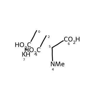 CC(=O)O.CC(=O)O.CNCC(=O)O.[KH]